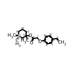 C=Cc1ccc(OCC(=O)OC2(C)CCC[Si](C)(C)C2)cc1